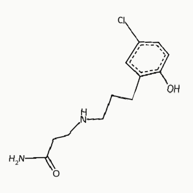 NC(=O)CCNCCCc1cc(Cl)ccc1O